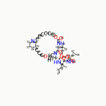 C=C[C@@H]1C[C@]1(NC(=O)[C@@H]1C[C@@H]2CN1C(=O)[C@H](C(C)(C)C)NC(=O)OCCCCCCc1ncccc1CCCO2)C(=O)NS(=O)(=O)C1CC1